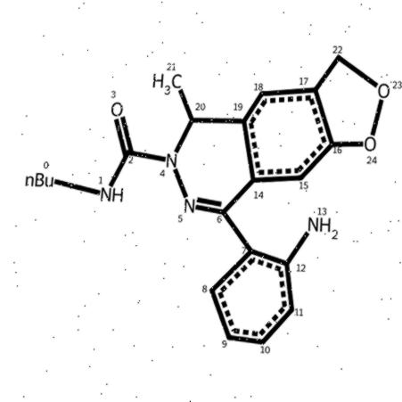 CCCCNC(=O)N1N=C(c2ccccc2N)c2cc3c(cc2C1C)COO3